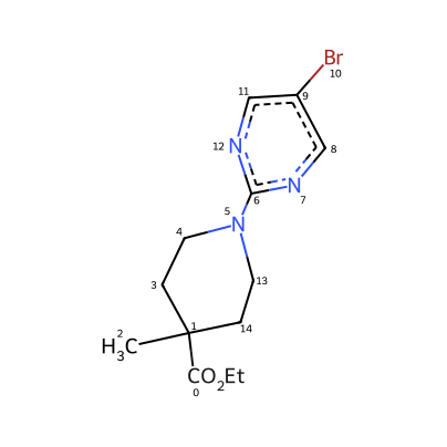 CCOC(=O)C1(C)CCN(c2ncc(Br)cn2)CC1